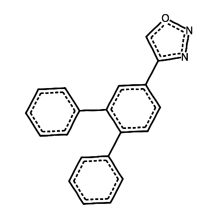 c1ccc(-c2ccc(-c3conn3)cc2-c2ccccc2)cc1